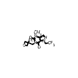 CCC1(Cn2c(=O)c3c(cnn3CC(F)(F)F)n(C)c2=O)COC1